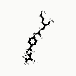 C=c1c(O)nn2nc(-c3ccc(NC(=O)OCC(CC)CCCC)cc3)nc12